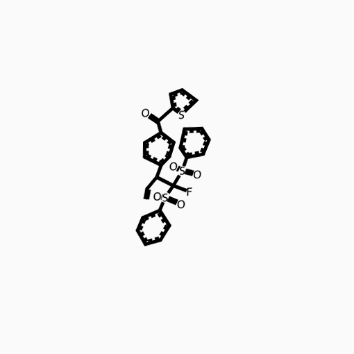 C=CC(c1ccc(C(=O)c2cccs2)cc1)C(F)(S(=O)(=O)c1ccccc1)S(=O)(=O)c1ccccc1